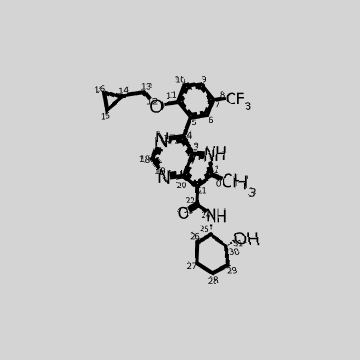 Cc1[nH]c2c(-c3cc(C(F)(F)F)ccc3OCC3CC3)ncnc2c1C(=O)N[C@H]1CCCC[C@H]1O